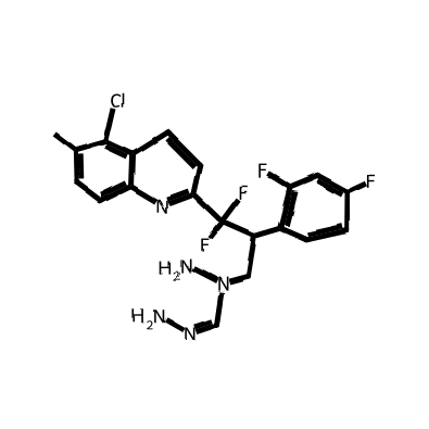 Cc1ccc2nc(C(F)(F)C(CN(N)/C=N\N)c3ccc(F)cc3F)ccc2c1Cl